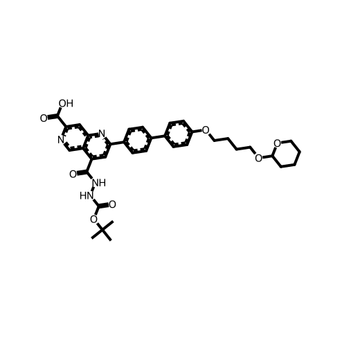 CC(C)(C)OC(=O)NNC(=O)c1cc(-c2ccc(-c3ccc(OCCCCOC4CCCCO4)cc3)cc2)nc2cc(C(=O)O)ncc12